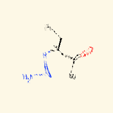 CC(C)C[C@H](N=NN)C(=O)N=O